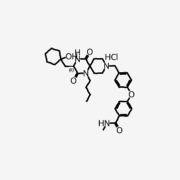 CCCCN1C(=O)[C@@H](CC2(O)CCCCC2)NC(=O)C12CCN(Cc1ccc(Oc3ccc(C(=O)NC)cc3)cc1)CC2.Cl